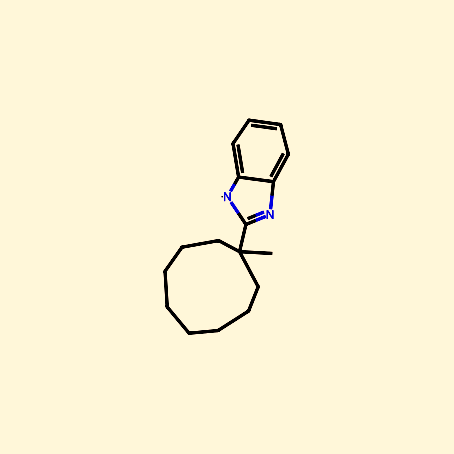 CC1(C2=Nc3ccccc3[N]2)CCCCCCCC1